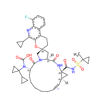 CC1(S(=O)(=O)NC(=O)[C@@]23C[C@H]2/C=C\CCCCC[C@H](N(C(=O)O)C2(C4CC4)CC2)C(=O)N2C[C@@]4(CCc5c(c(C6CC6)nc6c(F)cccc56)O4)C[C@H]2C(=O)N3)CC1